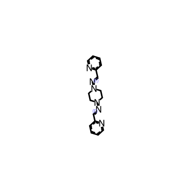 C(=N\N1CCN(/N=C/c2ccccn2)CC1)/c1ccccn1